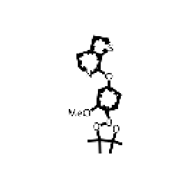 COc1cc(Oc2nccc3ccsc23)ccc1B1OC(C)(C)C(C)(C)O1